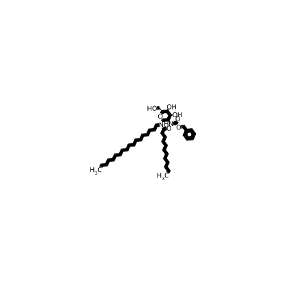 CCCCCCCCCCCCCCCCCCN(C(=O)CCCCCCCCCCC)[C@@H]1O[C@H](CO)[C@@H](O)[C@H](O)[C@H]1NC(=O)OCc1ccccc1